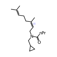 CCCC(=O)N(C/C=C(/C)CCC=C(C)C)CC1CC1